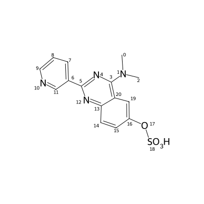 CN(C)c1nc(-c2cccnc2)nc2ccc(OS(=O)(=O)O)cc12